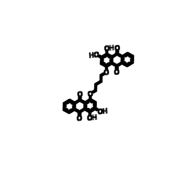 O=C1c2ccccc2C(=O)c2c(O)c(O)cc(OCCCCOc3cc(O)c(O)c4c3C(=O)c3ccccc3C4=O)c21